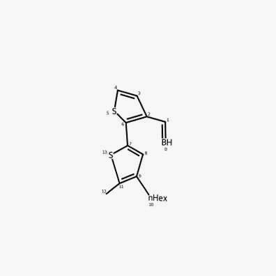 B=Cc1ccsc1-c1cc(CCCCCC)c(C)s1